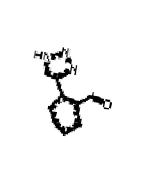 O=[C]c1ccccc1-c1c[nH]nn1